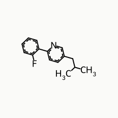 CC(C)Cc1ccc(-c2ccccc2F)nc1